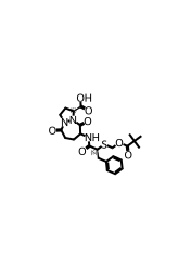 CC(C)(C)C(=O)OCS[C@@H](Cc1ccccc1)C(=O)NC1CCC(=O)N2CC[C@@H](C(=O)O)N2C1=O